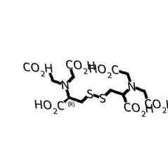 O=C(O)CN(CC(=O)O)C(CSSC[C@@H](C(=O)O)N(CC(=O)O)CC(=O)O)C(=O)O